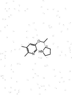 Cc1cc(OC(C)[C@@H]2CCCN2)cnc1C